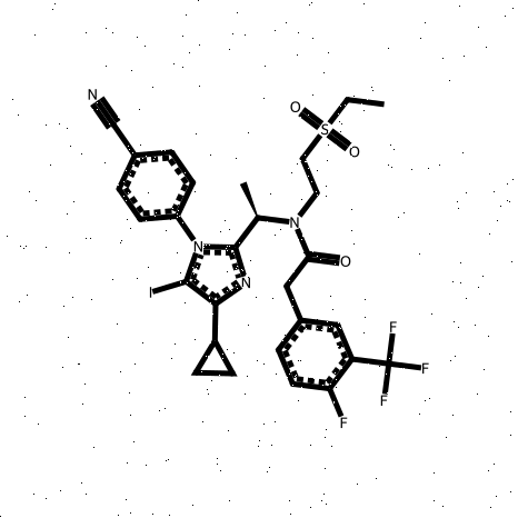 CCS(=O)(=O)CCN(C(=O)Cc1ccc(F)c(C(F)(F)F)c1)[C@H](C)c1nc(C2CC2)c(I)n1-c1ccc(C#N)cc1